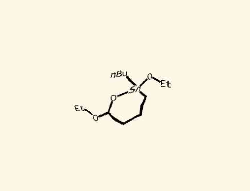 CCC[CH2][Sn]1([O]CC)[CH2]CCC(OCC)[O]1